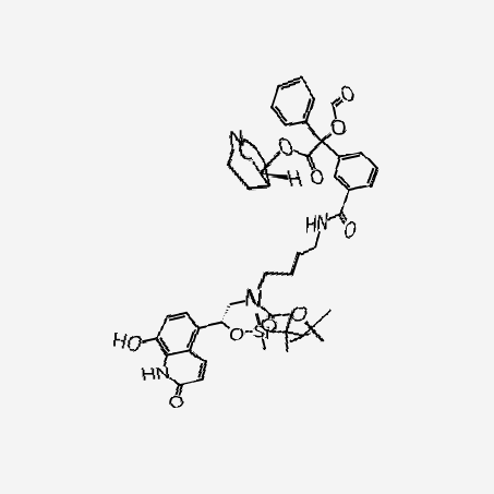 CC(C)(C)OC(=O)N(CCCCNC(=O)c1cccc(C(OC=O)(C(=O)O[C@H]2CN3CCC2CC3)c2ccccc2)c1)C[C@H](O[Si](C)(C)C(C)(C)C)c1ccc(O)c2[nH]c(=O)ccc12